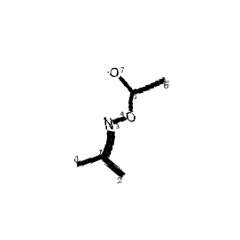 CC(C)=NOC(C)[O]